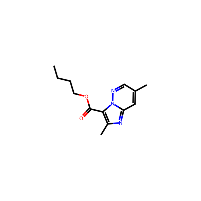 CCCCOC(=O)c1c(C)nc2cc(C)cnn12